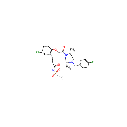 C[C@@H]1CN(Cc2ccc(F)cc2)[C@@H](C)CN1C(=O)COc1ccc(Cl)cc1CCC(=O)NS(C)(=O)=O